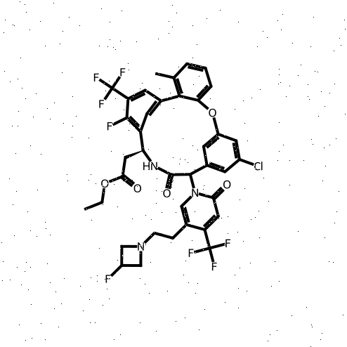 CCOC(=O)C[C@@H]1NC(=O)C(n2cc(CCN3CC(F)C3)c(C(F)(F)F)cc2=O)c2cc(Cl)cc(c2)Oc2cccc(C)c2-c2cc1c(F)c(C(F)(F)F)c2